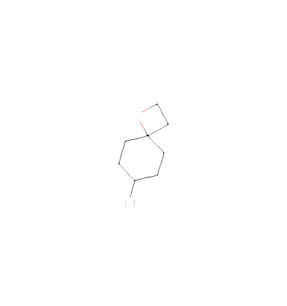 CCC1CCC2(CCO2)CC1